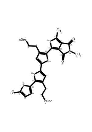 CCCCCCCCCCCCc1cc(-c2cc(CCCCCCCCCCCC)c(-c3sc(C)c4c3C(=O)N(C)C4=O)s2)sc1-c1ccc(Br)s1